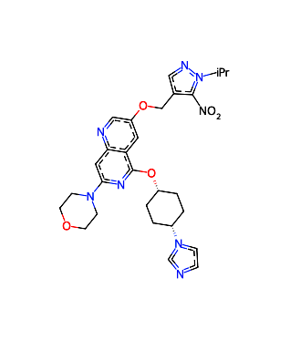 CC(C)n1ncc(COc2cnc3cc(N4CCOCC4)nc(O[C@H]4CC[C@@H](n5ccnc5)CC4)c3c2)c1[N+](=O)[O-]